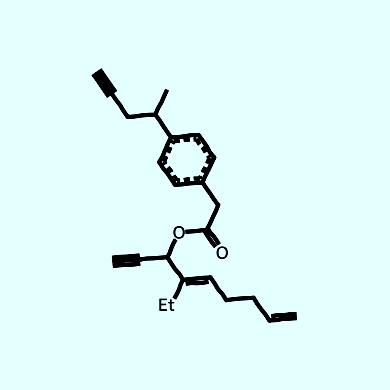 C#CCC(C)c1ccc(CC(=O)OC(C#C)C(=CCCC=C)CC)cc1